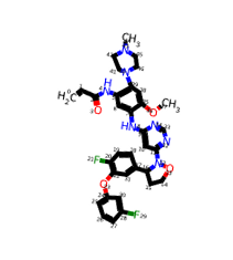 C=CC(=O)Nc1cc(Nc2cc(N3OCCC3c3ccc(F)c(Oc4cccc(F)c4)c3)ncn2)c(OC)cc1N1CCN(C)CC1